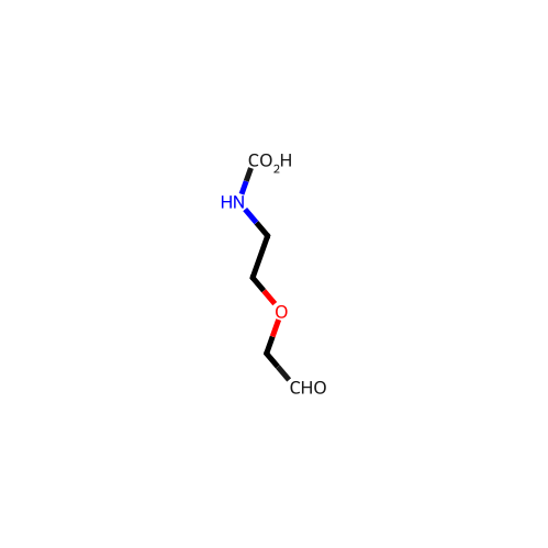 O=CCOCCNC(=O)O